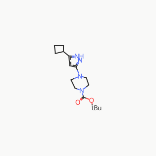 CC(C)(C)OC(=O)N1CCN(c2cc(C3CCC3)[nH]n2)CC1